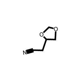 N#CCC1COCO1